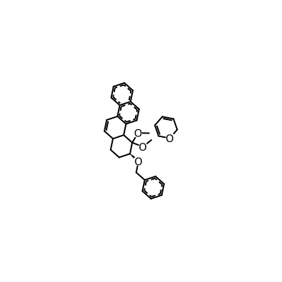 C1=CCOC=C1.COC1(OC)C2c3ccc4ccccc4c3C=CC2CC[C@@H]1OCc1ccccc1